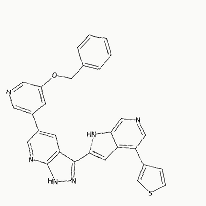 c1ccc(COc2cncc(-c3cnc4[nH]nc(-c5cc6c(-c7ccsc7)cncc6[nH]5)c4c3)c2)cc1